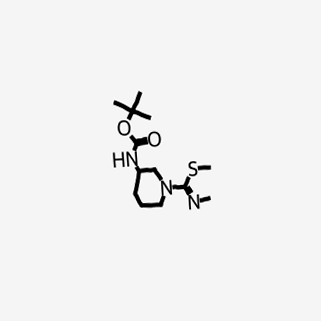 CN=C(SC)N1CCCC(NC(=O)OC(C)(C)C)C1